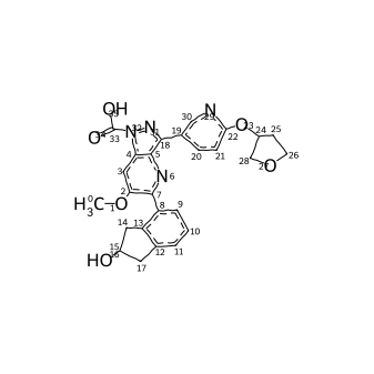 COc1cc2c(nc1-c1cccc3c1CC(O)C3)c(-c1ccc(OC3CCOC3)nc1)nn2C(=O)O